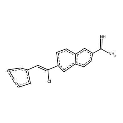 N=C(N)c1ccc2cc(/C(Cl)=C/c3ccccc3)ccc2c1